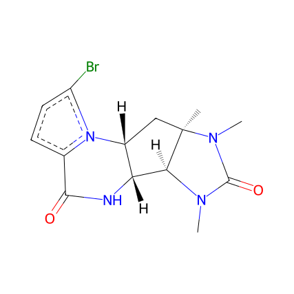 CN1C(=O)N(C)[C@]2(C)C[C@@H]3[C@@H](NC(=O)c4ccc(Br)n43)[C@H]12